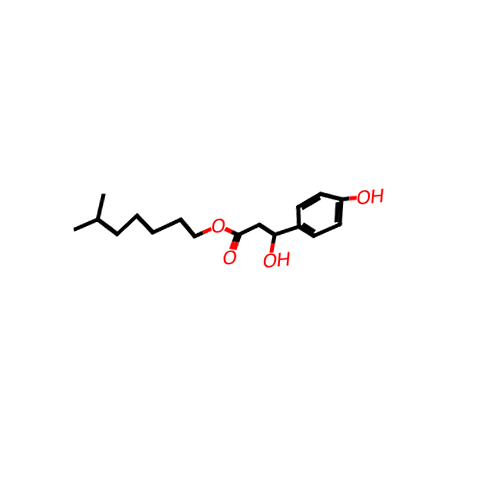 CC(C)CCCCCOC(=O)CC(O)c1ccc(O)cc1